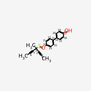 CC#CC(C)(C#CC)SOc1ccc(-c2ccc(O)cc2)cc1